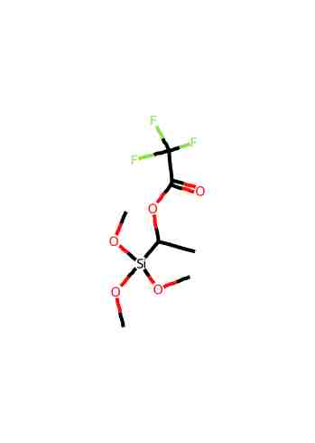 CO[Si](OC)(OC)C(C)OC(=O)C(F)(F)F